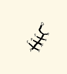 [O]CC(F)C(F)(F)C(F)(F)C(F)(F)F